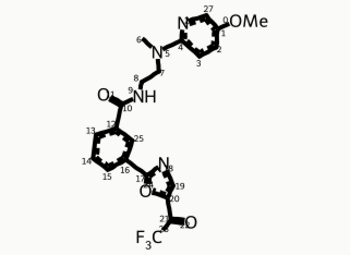 COc1ccc(N(C)CCNC(=O)c2cccc(-c3ncc(C(=O)C(F)(F)F)o3)c2)nc1